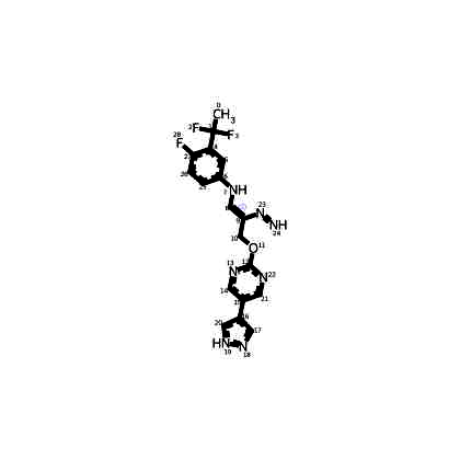 CC(F)(F)c1cc(N/C=C(/COc2ncc(-c3cn[nH]c3)cn2)N=N)ccc1F